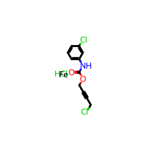 Cl.O=C(Nc1cccc(Cl)c1)OCC#CCCl.[Fe]